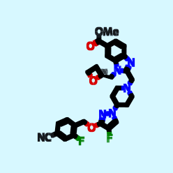 COC(=O)c1ccc2nc(CN3CCC(n4cc(F)c(OCc5ccc(C#N)cc5F)n4)CC3)n(C[C@@H]3CCO3)c2c1